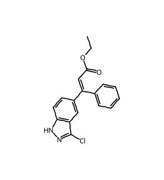 CCOC(=O)/C=C(\c1ccccc1)c1ccc2[nH]nc(Cl)c2c1